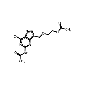 CC(=O)Nc1nc(Cl)c2ncn(COCCOC(C)=O)c2n1